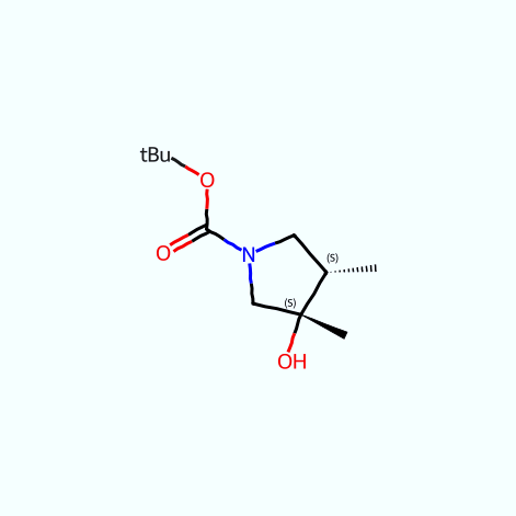 C[C@H]1CN(C(=O)OC(C)(C)C)C[C@@]1(C)O